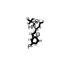 CCCC(N[S@+]([O-])C(C)(C)C)c1cc2cc(F)ccc2o1